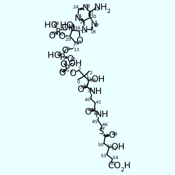 CC(C)(COP(=O)(O)OP(=O)(O)OC[C@H]1O[C@@H](n2cnc3c(N)ncnc32)[C@H](O)[C@@H]1OP(=O)(O)O)[C@@H](O)C(=O)NCCC(=O)NCCSC(=O)C[C@@H](O)CCC(=O)O